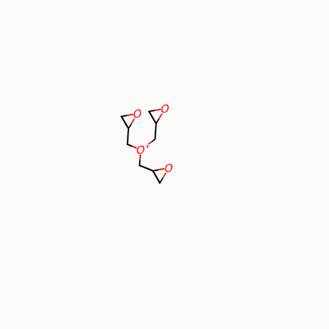 C1OC1C[O+](CC1CO1)CC1CO1